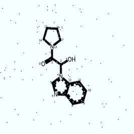 O=C(C(O)n1cnc2ccccc21)N1CCCC1